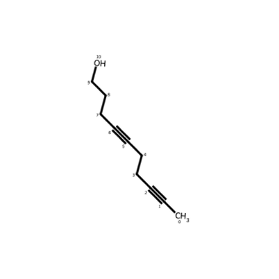 CC#CCCC#CCCCO